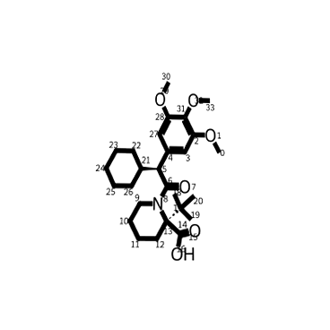 COc1cc([C@@H](C(=O)N2CCCC[C@@]2(C(=O)O)C(C)(C)C)C2CCCCC2)cc(OC)c1OC